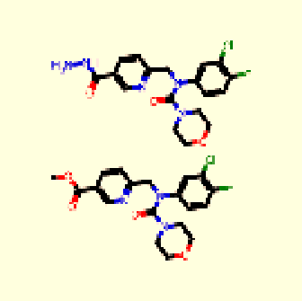 COC(=O)c1ccc(CN(C(=O)N2CCOCC2)c2ccc(F)c(Cl)c2)nc1.NNC(=O)c1ccc(CN(C(=O)N2CCOCC2)c2ccc(F)c(Cl)c2)nc1